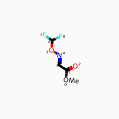 COC(=O)/C=N/OC(F)F